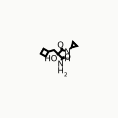 NC(=O)C(O)(CC1CCC1)C(=O)NC1CC1